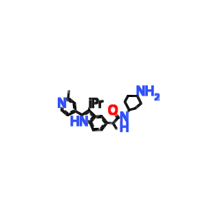 Cc1cc(-c2[nH]c3ccc(C(C)C(=O)NC4CCC(N)CC4)cc3c2C(C)C)ccn1